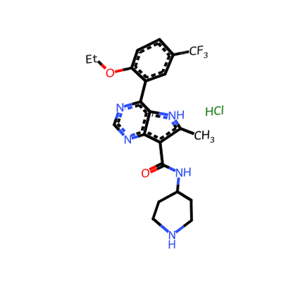 CCOc1ccc(C(F)(F)F)cc1-c1ncnc2c(C(=O)NC3CCNCC3)c(C)[nH]c12.Cl